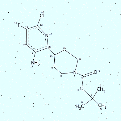 CC(C)(C)OC(=O)N1CCC(c2nc(Cl)c(F)cc2N)CC1